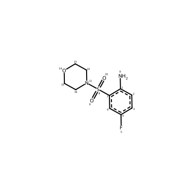 Nc1ccc(F)cc1S(=O)(=O)N1CCOCC1